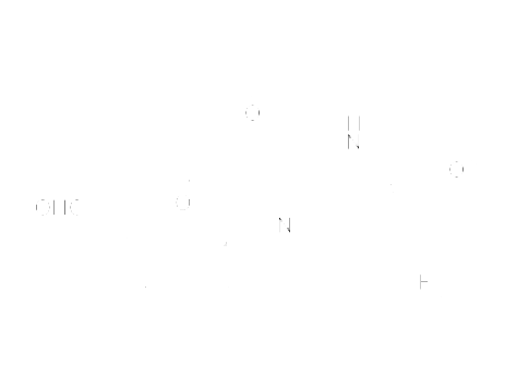 O=CC1CCC(n2cc(F)c(=O)[nH]c2=O)O1